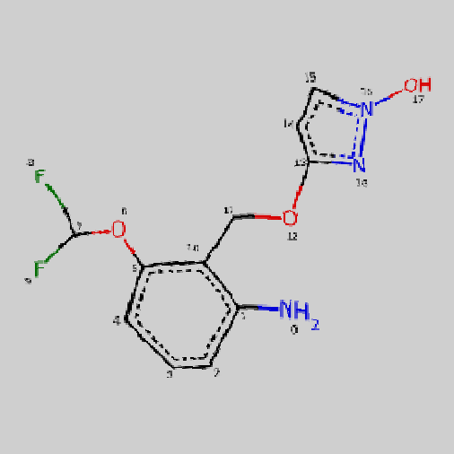 Nc1cccc(OC(F)F)c1COc1ccn(O)n1